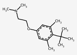 Cc1cc(OCCN(C)C)cc(C)c1C(C)(C)C